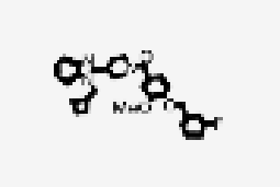 COc1cc(C(=O)N2CCC(c3nc4ccccc4n3CC3CCC3)CC2)ccc1OCc1cccc(F)c1